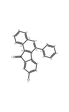 O=C1c2cc(Cl)ccc2-c2c(-c3ccccc3)nc3ccccc3c21